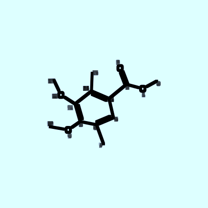 COC(=O)c1cc(C)c(OC)c(OC)c1C